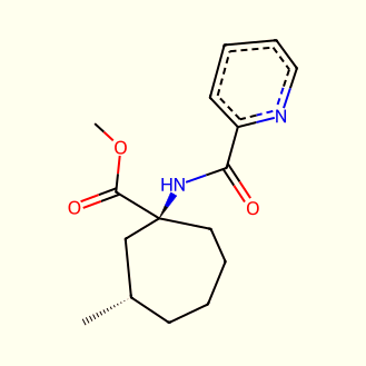 COC(=O)[C@]1(NC(=O)c2ccccn2)CCCC[C@H](C)C1